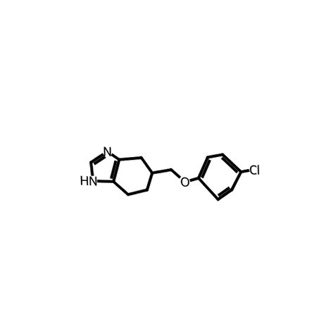 Clc1ccc(OCC2CCc3[nH]cnc3C2)cc1